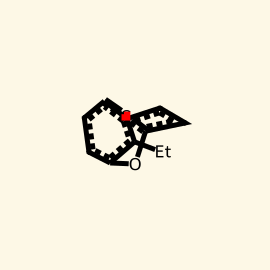 CCc1c2ccc3cc(ccc13)O2